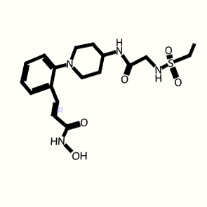 CCS(=O)(=O)NCC(=O)NC1CCN(c2ccccc2/C=C/C(=O)NO)CC1